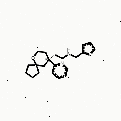 c1ccc([C@]2(CCNCc3cccs3)CCOC3(CCCC3)C2)nc1